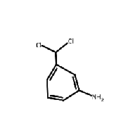 Nc1cccc(C(Cl)Cl)c1